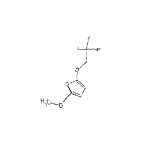 COc1ccc(OCC(F)(F)F)s1